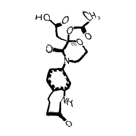 CC(=O)O[C@]1(CC(=O)O)OCCN(c2ccc3c(c2)NC(=O)CC3)C1=O